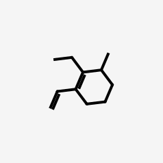 C=CC1=C(CC)C(C)CCC1